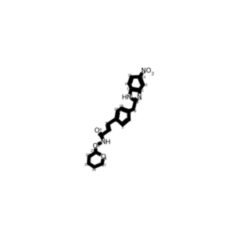 O=C(/C=C/c1ccc(Cc2nc3cc([N+](=O)[O-])ccc3[nH]2)cc1)NOC1CCCCO1